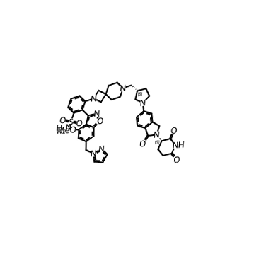 COc1cc(Cn2cccn2)cc2onc(-c3c(N4CC5(CCN(C[C@@H]6CCN(c7ccc8c(c7)CN([C@H]7CCC(=O)NC7=O)C8=O)C6)CC5)C4)cccc3S(N)(=O)=O)c12